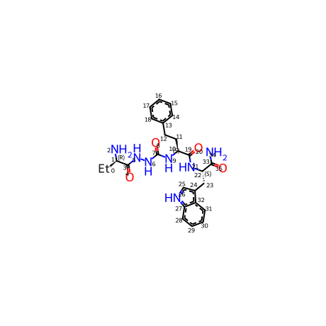 CC[C@@H](N)C(=O)NNC(=O)N[C@@H](CCc1ccccc1)C(=O)N[C@@H](Cc1c[nH]c2ccccc12)C(N)=O